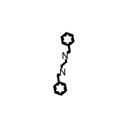 C(=NCCN=Cc1ccccc1)c1ccccc1